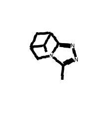 Cc1nnc2n1CC1CC2C1C